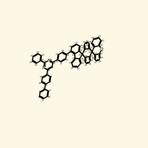 c1ccc(-c2ccc(-c3cc(-c4ccc(-c5cccc6c5-c5ccccc5C65c6ccccc6C6(c7ccccc7Oc7ccccc76)c6ccccc65)cc4)nc(-c4ccccc4)n3)cc2)cc1